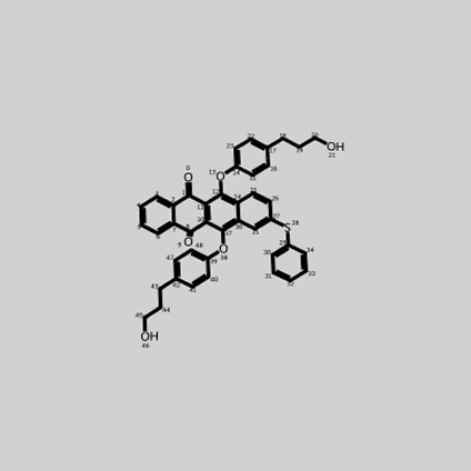 O=C1c2ccccc2C(=O)c2c1c(Oc1ccc(CCCO)cc1)c1ccc(Sc3ccccc3)cc1c2Oc1ccc(CCCO)cc1